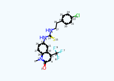 Cn1c(=O)cc(C(F)(F)F)c2cc(NC(=S)NCCc3ccc(Cl)cc3)ccc21